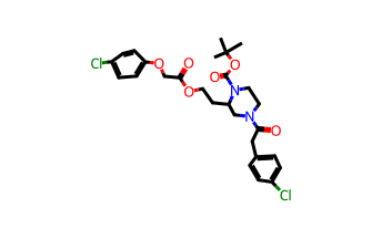 CC(C)(C)OC(=O)N1CCN(C(=O)Cc2ccc(Cl)cc2)CC1CCOC(=O)COc1ccc(Cl)cc1